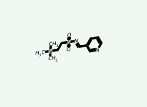 C[Si](C)(C)CCS(=O)(=O)N=Cc1cccnc1